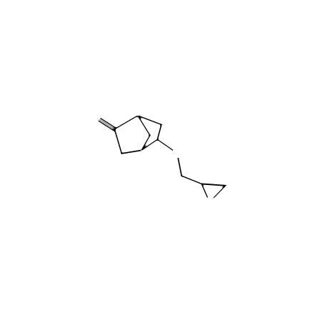 S=C1CC2CC1CC2OCC1CO1